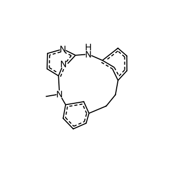 CN1c2cccc(c2)CCc2cccc(c2)Nc2nccc1n2